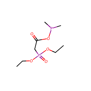 CCOP(=O)(CC(=O)OP(C)C)OCC